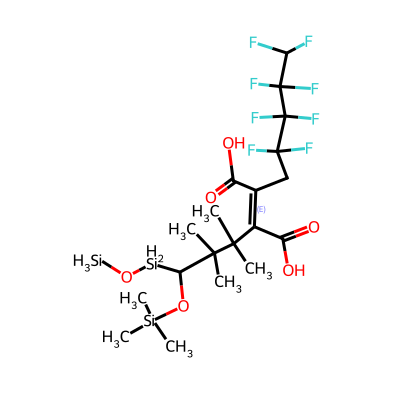 CC(C)(/C(C(=O)O)=C(/CC(F)(F)C(F)(F)C(F)(F)C(F)F)C(=O)O)C(C)(C)C(O[Si](C)(C)C)[SiH2]O[SiH3]